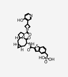 O=C(N[C@H]1C[C@H]2C[C@H]2C[C@H]2CC[C@@H](C(=O)N3CC(c4cnccc4O)C3)N2C1=O)c1cc2cc(CP(=O)(O)O)ccc2s1